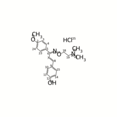 COc1ccc(C(C=Cc2ccc(O)cc2)=NOCCN(C)C)cc1.Cl